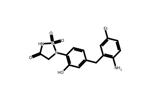 CCc1ccc(N)c(Cc2ccc(N3CC(=O)NS3(=O)=O)c(O)c2)c1